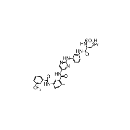 Cc1ccc(NC(=O)c2cccc(C(F)(F)F)c2)cc1C(=O)Nc1cnc(Nc2cccc(NC(=O)C(CC(C)C)NC(=O)O)c2)nc1